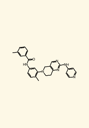 Cc1cccc(C(=O)Nc2ccc(C)c(N3CCc4nc(Nc5ccncc5)ncc4C3)c2)c1